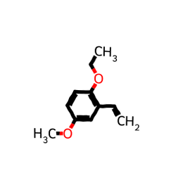 C=Cc1cc(OC)ccc1OCC